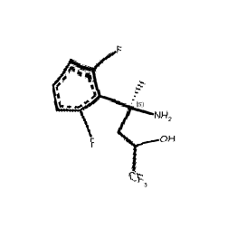 C[C@](N)(CC(O)C(F)(F)F)c1c(F)cccc1F